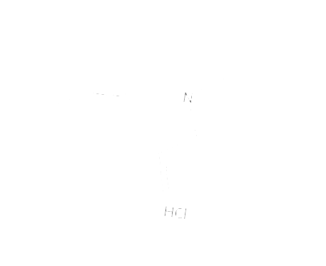 C=CCN(CC=C)CCCC.Cl